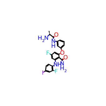 C[C@H](N)C(=O)Nc1cccc(Oc2cc(F)cc(Nc3ccc(I)cc3F)c2C(N)=O)c1